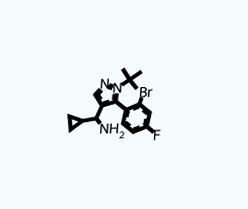 CC(C)(C)n1ncc(C(N)C2CC2)c1-c1ccc(F)cc1Br